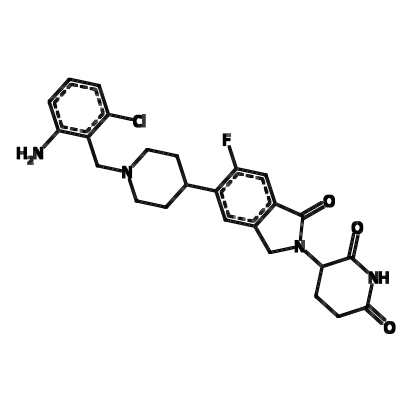 Nc1cccc(Cl)c1CN1CCC(c2cc3c(cc2F)C(=O)N(C2CCC(=O)NC2=O)C3)CC1